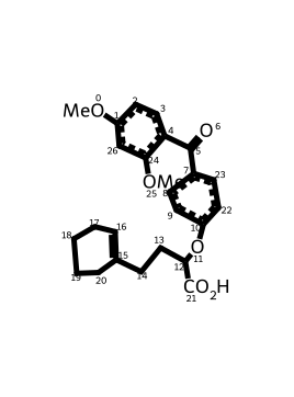 COc1ccc(C(=O)c2ccc(OC(CCC3=CCCCC3)C(=O)O)cc2)c(OC)c1